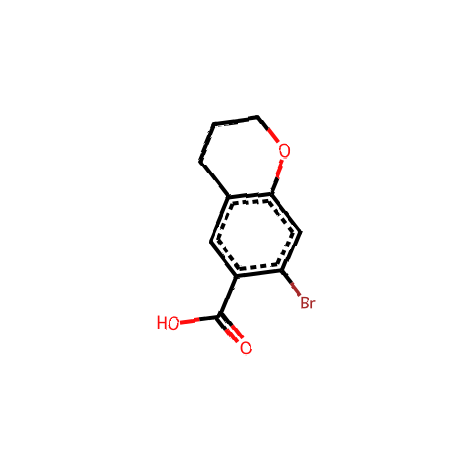 O=C(O)c1cc2c(cc1Br)OCCC2